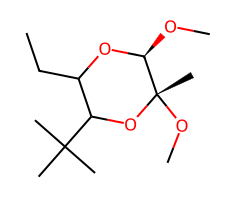 CCC1O[C@@H](OC)[C@](C)(OC)OC1C(C)(C)C